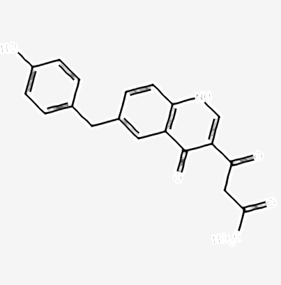 O=C(O)C(=O)CC(=O)c1c[nH]c2ccc(Cc3ccc(O)cc3)cc2c1=O